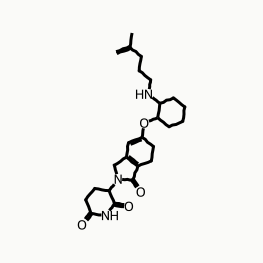 C=C(C)CCCNC1CCCCC1OC1=CC2=C(CC1)C(=O)N(C1CCC(=O)NC1=O)C2